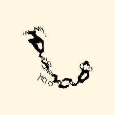 Cl.N=C(N)c1ccc(CNCC(=O)NCC(=O)N2CCN(Cc3ccc4c(c3)OCO4)CC2)cc1